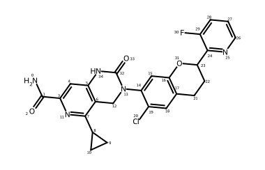 NC(=O)c1cc2c(c(C3CC3)n1)CN(c1cc3c(cc1Cl)CCC(c1ncccc1F)O3)C(=O)N2